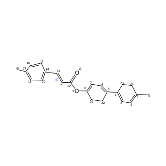 CC1=CC=C(C2=CC=C(OC(=O)/C=C/c3ccc(C)cc3)CC2)CC1